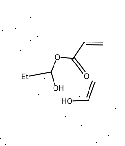 C=CC(=O)OC(O)CC.C=CO